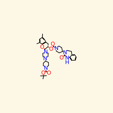 Cc1cc(C)cc(C[C@@H](OC(=O)N2CCC(N3CCc4ccccc4NC3=O)CC2)C(=O)N2CCN(C3CCN(C(=O)OC(C)(C)C)CC3)CC2)c1